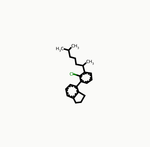 CC(C)CCCC(C)c1cccc(-c2cccc3c2CCC3)c1Cl